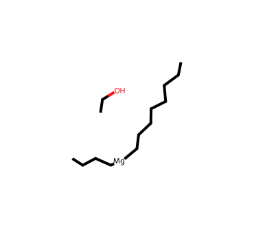 CCCCCCC[CH2][Mg][CH2]CCC.CCO